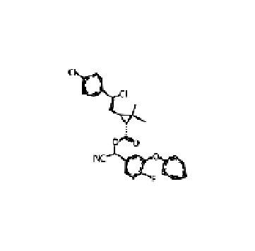 CC1(C)[C@H](C=C(Cl)c2ccc(Cl)cc2)[C@H]1C(=O)OC(C#N)c1ccc(F)c(Oc2ccccc2)c1